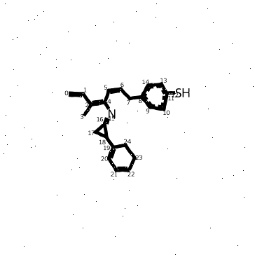 C=C/C(C)=C(\C=C/Cc1ccc(S)cc1)/N=C1\CC1C1=CC=CCC1